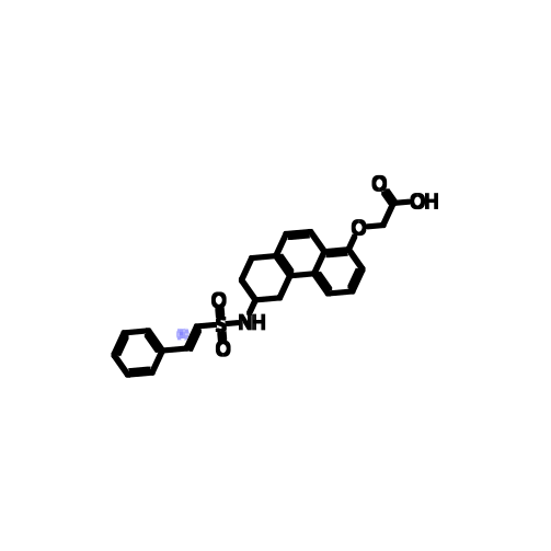 O=C(O)COc1cccc2c3c(ccc12)CCC(NS(=O)(=O)/C=C/c1ccccc1)C3